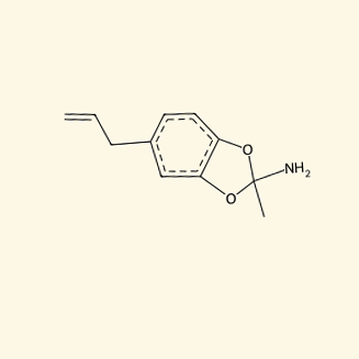 C=CCc1ccc2c(c1)OC(C)(N)O2